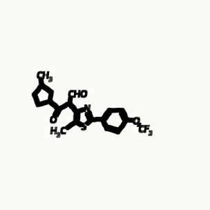 Cc1sc(-c2ccc(OC(F)(F)F)cc2)nc1C(C=O)C(=O)C1CCC(C)C1